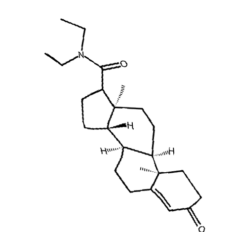 CCN(CC)C(=O)C1CC[C@H]2[C@@H]3CCC4=CC(=O)CC[C@]4(C)[C@@H]3CC[C@]12C